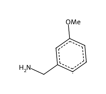 COc1cc[c]c(CN)c1